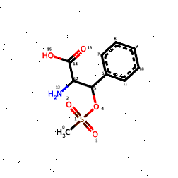 CS(=O)(=O)OC(c1ccccc1)C(N)C(=O)O